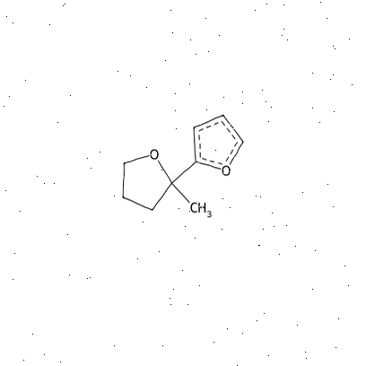 CC1(c2ccco2)CCCO1